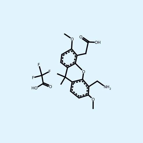 COc1ccc2c(c1CN)Oc1c(ccc(OC)c1CC(=O)O)C2(C)C.O=C(O)C(F)(F)F